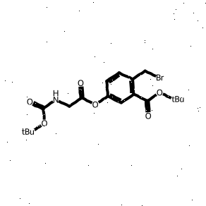 CC(C)(C)OC(=O)NCC(=O)Oc1ccc(CBr)c(C(=O)OC(C)(C)C)c1